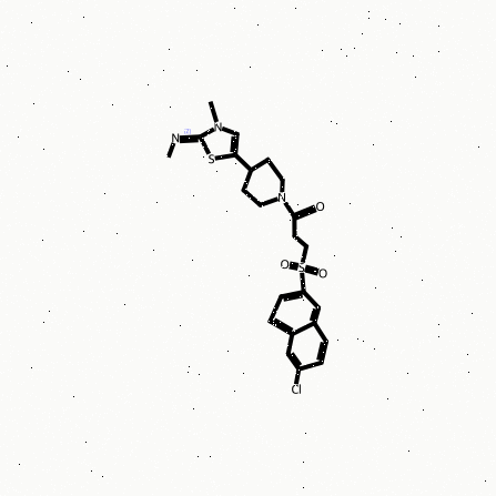 C/N=c1\sc(C2CCN(C(=O)CCS(=O)(=O)c3ccc4cc(Cl)ccc4c3)CC2)cn1C